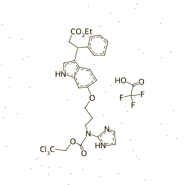 CCOC(=O)CC(c1ccccc1)c1c[nH]c2cc(OCCCN(C(=O)OCC(Cl)(Cl)Cl)c3ncc[nH]3)ccc12.O=C(O)C(F)(F)F